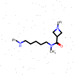 CCCN1CC(C(=O)N(C)CCCCCNC(C)C)C1